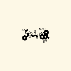 COc1ccc2c3c1O[C@H]1C(OC(=O)[C@@H](O)CC(=O)O[C@H](C(=O)O[C@@H](C)C(C)=O)c4ccccc4)=CC[C@@]4(O)[C@@H](C2)N(C)CC[C@]314